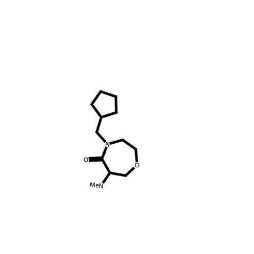 CNC1COCCN(CC2CCCC2)C1=O